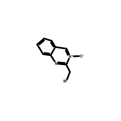 [O-][n+]1cc2ccccc2nc1CBr